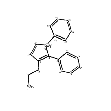 CCCCCCCCCCCCC1=C(c2ccccc2)[SiH](c2ccccc2)C=C1